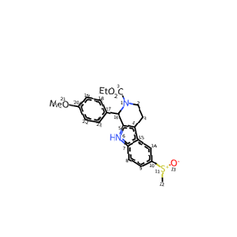 CCOC(=O)N1CCc2c([nH]c3ccc([S+](C)[O-])cc23)C1c1ccc(OC)cc1